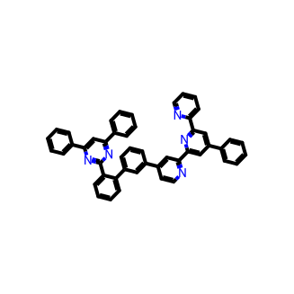 c1ccc(-c2cc(-c3ccccn3)nc(-c3cc(-c4cccc(-c5ccccc5-c5nc(-c6ccccc6)cc(-c6ccccc6)n5)c4)ccn3)c2)cc1